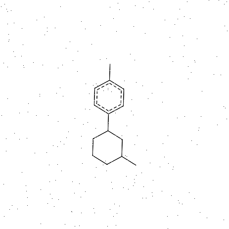 Cc1ccc(C2CCCC(C)C2)cc1